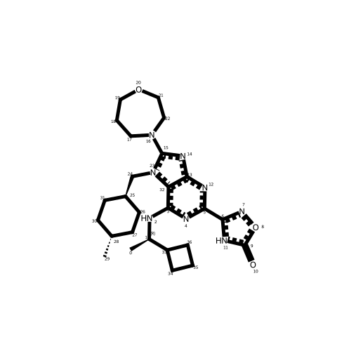 C[C@@H](Nc1nc(-c2noc(=O)[nH]2)nc2nc(N3CCCOCC3)n(C[C@H]3CC[C@H](C)CC3)c12)C1CCC1